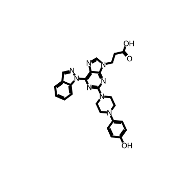 O=C(O)CCn1cnc2c(-n3ncc4ccccc43)nc(N3CCN(c4ccc(O)cc4)CC3)nc21